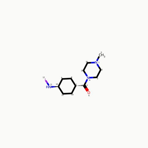 CN1CCN(C(=O)[C@H]2CC[C@H](NI)CC2)CC1